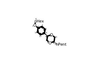 CCCCCCOc1ccc([C@@H]2CO[C@@H](CCCCC)CO2)cc1